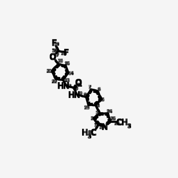 Cc1cc(-c2cccc(NC(=O)Nc3ccc(OC(F)F)cc3)c2)cc(C)n1